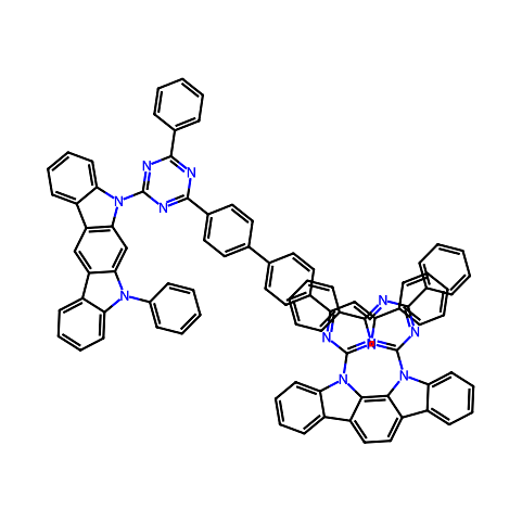 c1ccc(-c2cc(-c3ccc(-c4ccc(-c5nc(-c6ccccc6)nc(-n6c7ccccc7c7cc8c9ccccc9n(-c9ccccc9)c8cc76)n5)cc4)cc3)nc(-n3c4ccccc4c4ccc5c6ccccc6n(-c6nc(-c7ccccc7)nc(-c7ccccc7)n6)c5c43)n2)cc1